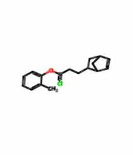 Cc1ccccc1O[SiH](Cl)CCC1CC2C=CC1C2